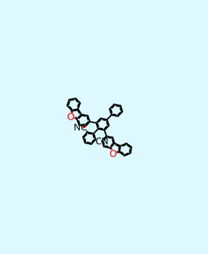 N#Cc1cccc(C#N)c1-c1c(-c2ccc3oc4ccccc4c3c2)cc(-c2ccccc2)cc1-c1ccc2oc3ccccc3c2c1